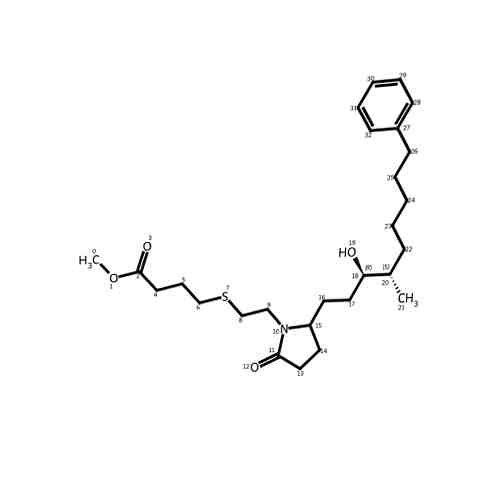 COC(=O)CCCSCCN1C(=O)CCC1CC[C@@H](O)[C@@H](C)CCCCCc1ccccc1